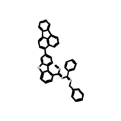 C=N/C(=N\C(=N/Cc1ccccc1)c1ccccc1)c1cccc2oc3cc(-c4ccc5c6c(cccc46)-c4ccccc4-5)ccc3c12